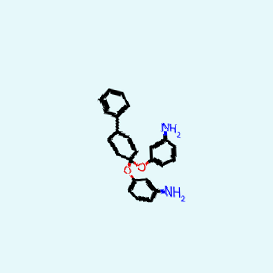 Nc1cccc(OC2(Oc3cccc(N)c3)C=CC(c3ccccc3)C=C2)c1